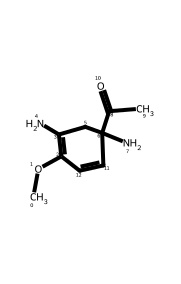 COC1=C(N)CC(N)(C(C)=O)C=C1